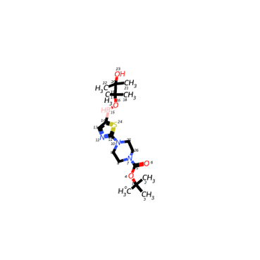 CC(C)(C)OC(=O)N1CCN(c2ncc(BOC(C)(C)C(C)(C)O)s2)CC1